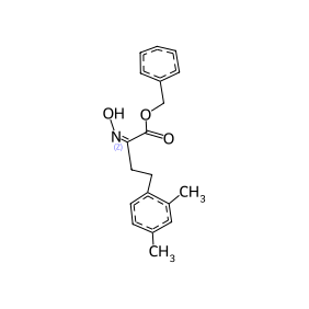 Cc1ccc(CC/C(=N/O)C(=O)OCc2ccccc2)c(C)c1